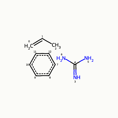 C=CC.N=C(N)N.c1ccccc1